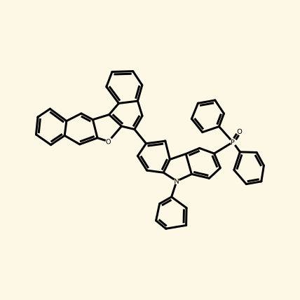 O=P(c1ccccc1)(c1ccccc1)c1ccc2c(c1)c1cc(-c3cc4ccccc4c4c3oc3cc5ccccc5cc34)ccc1n2-c1ccccc1